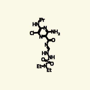 CCN(CC)S(=O)(=O)NNC=NC(=O)c1nc(Cl)c(NC(C)C)nc1N